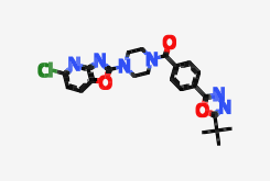 CC(C)(C)c1nnc(-c2ccc(C(=O)N3CCN(c4nc5nc(Cl)ccc5o4)CC3)cc2)o1